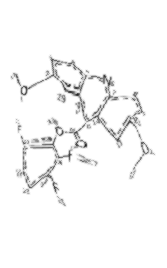 COc1ccc2nc3ccc(OC)cc3c(C(=O)Oc3c(F)ccc(F)c3F)c2c1